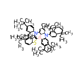 C[SiH2]C1C=C(C(C)(C)C)C#CC1N1C2=CC(C)=CC3C2B(C2=C1C1C=C(C(C)(C)C)C=CC1S2)c1cc2c(cc1N3C1=C[C@@H]3C(C=C1)C(C)(C)CCC3(C)C)C(C)(C)CCC2(C)C